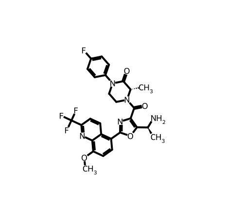 COc1ccc(-c2nc(C(=O)N3CCN(c4ccc(F)cc4)C(=O)[C@@H]3C)c([C@H](C)N)o2)c2ccc(C(F)(F)F)nc12